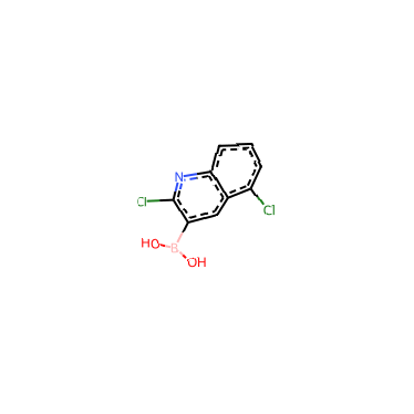 OB(O)c1cc2c(Cl)cccc2nc1Cl